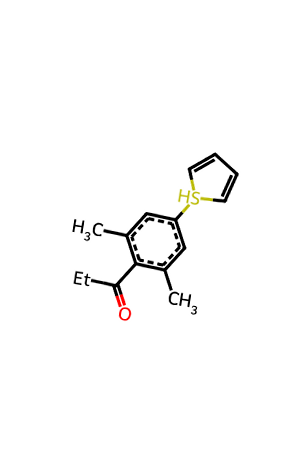 CCC(=O)c1c(C)cc([SH]2C=CC=C2)cc1C